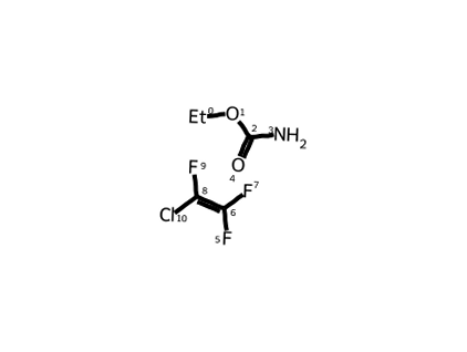 CCOC(N)=O.FC(F)=C(F)Cl